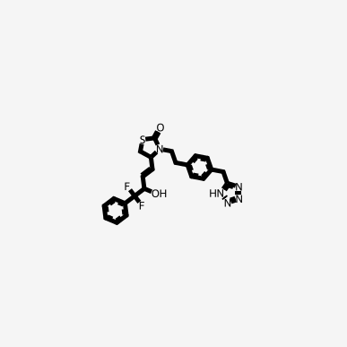 O=C1SCC(C=CC(O)C(F)(F)c2ccccc2)N1CCc1ccc(Cc2nnn[nH]2)cc1